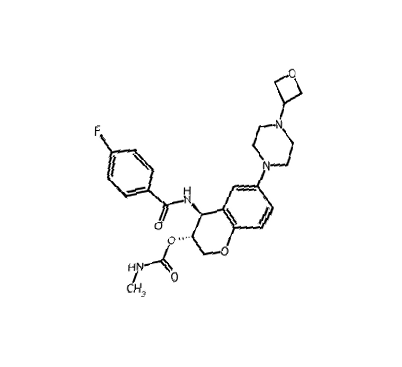 CNC(=O)O[C@H]1COc2ccc(N3CCN(C4COC4)CC3)cc2[C@@H]1NC(=O)c1ccc(F)cc1